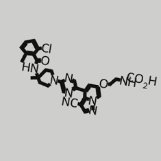 Cc1cccc(Cl)c1C(=O)NC1(C)CCN(c2cnc(-c3cc(OCCNC(=O)O)cn4ncc(C#N)c34)cn2)CC1